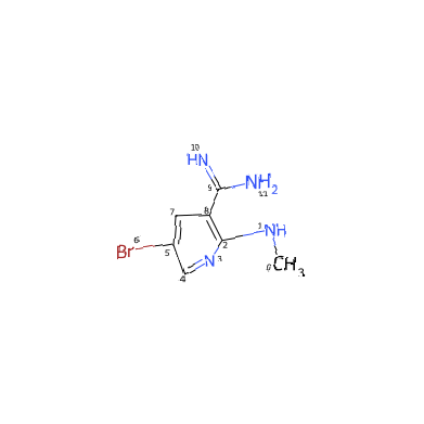 CNc1ncc(Br)cc1C(=N)N